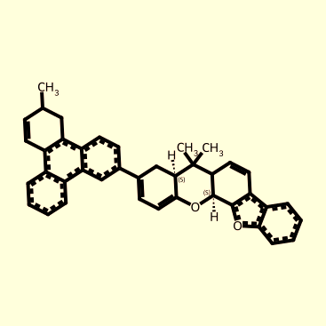 CC1C=Cc2c(c3ccc(C4=CC=C5O[C@@H]6c7oc8ccccc8c7C=CC6C(C)(C)[C@@H]5C4)cc3c3ccccc23)C1